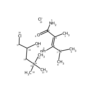 CCC/C(=C(/C)C(N)=O)N(C)C.C[N+](C)(C)CC(O)CCl.[Cl-]